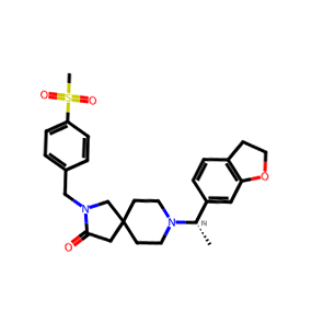 C[C@@H](c1ccc2c(c1)OCC2)N1CCC2(CC1)CC(=O)N(Cc1ccc(S(C)(=O)=O)cc1)C2